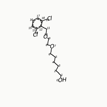 OCCCCCCOCCOCc1c(Cl)cccc1Cl